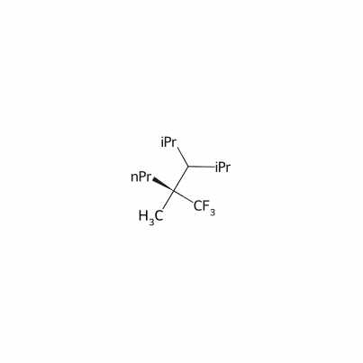 CCC[C@@](C)(C(C(C)C)C(C)C)C(F)(F)F